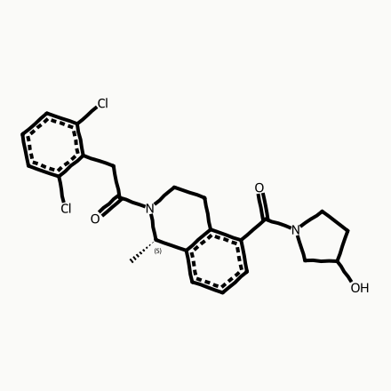 C[C@H]1c2cccc(C(=O)N3CCC(O)C3)c2CCN1C(=O)Cc1c(Cl)cccc1Cl